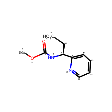 CC(C)(C)OC(=O)N[C@@H](CC(=O)O)c1ccccn1